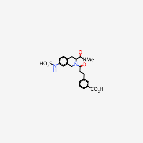 CNC(=O)C1Cc2ccc(NS(=O)(=O)O)cc2CN1C(=O)CCc1cccc(C(=O)O)c1